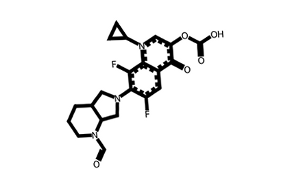 O=CN1CCCC2CN(c3c(F)cc4c(=O)c(OC(=O)O)cn(C5CC5)c4c3F)CC21